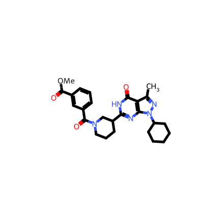 COC(=O)c1cccc(C(=O)N2CCCC(c3nc4c(c(C)nn4C4CCCCC4)c(=O)[nH]3)C2)c1